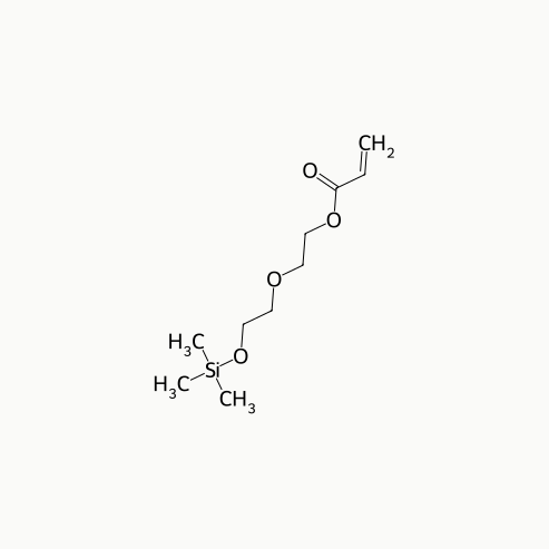 C=CC(=O)OCCOCCO[Si](C)(C)C